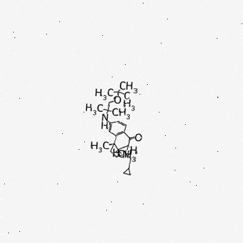 C[C@H]1[C@H]2C(=O)c3ccc(NC(C)(C)COC(C)(C)C)cc3[C@@]1(C)CCN2CC1CC1